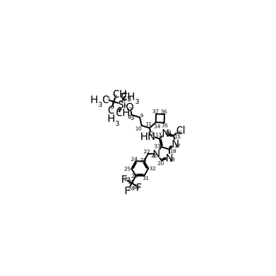 CC(C)(C)[Si](C)(C)OCCCC(Nc1nc(Cl)nc2ncn(Cc3ccc(C(F)(F)F)cc3)c12)C1CCC1